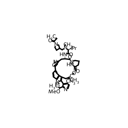 C=CC(=O)N1CCC(CN(C)[C@H](C(=O)N[C@H]2Cc3cc(on3)-c3ccc4c(c3)c(c(-c3cccnc3[C@H](C)OC)n4CC)CC(C)(C)COC(=O)[C@@H]3CCCN(N3)C2=O)C(C)C)C1